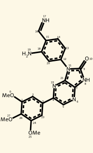 COc1cc(-c2cnc3[nH]c(=O)n(-c4ccc(C=N)c(N)c4)c3n2)cc(OC)c1OC